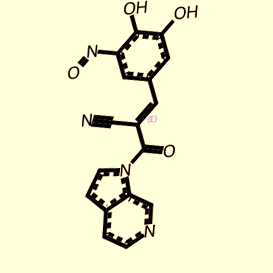 N#C/C(=C\c1cc(O)c(O)c(N=O)c1)C(=O)n1ccc2ccncc21